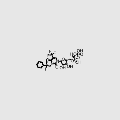 O=c1c(C(F)(F)F)cn([C@@H]2O[C@H](COP(=O)(O)OP(=O)(O)O)[C@H](O)[C@@H]2O)c(=O)n1CC(F)(F)c1ccccc1